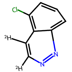 [2H]c1nnc2cccc(Cl)c2c1[2H]